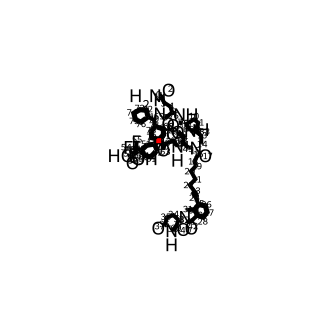 NC(=O)CCC(NC(=O)[C@@H]1CC[C@@H]2CCN(C(=O)CCCCCC#Cc3cccc4c3CN(C3CCC(=O)NC3=O)C4=O)C[C@H](NC(=O)c3cc4cc(C(F)(F)P(=O)(O)O)ccc4o3)C(=O)N21)C(=O)NC(c1ccccc1)c1ccccc1